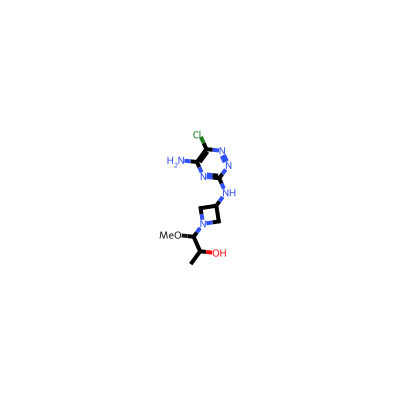 COC(C(C)O)N1CC(Nc2nnc(Cl)c(N)n2)C1